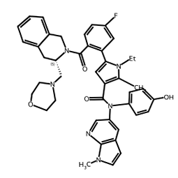 CCn1c(-c2cc(F)ccc2C(=O)N2Cc3ccccc3C[C@H]2CN2CCOCC2)cc(C(=O)N(c2ccc(O)cc2)c2cnc3c(ccn3C)c2)c1C